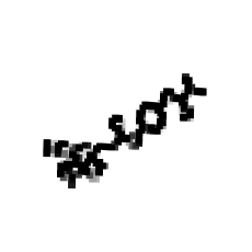 C=C(C)C(=O)Oc1ccc(OC(=O)CCC(F)(F)C(F)(F)S(=O)(=O)O)cc1